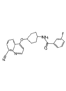 N#Cc1cccc2c(OC3CCC(NC(=O)c4cccc(F)c4)CC3)ccnc12